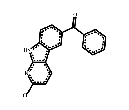 O=C(c1ccccc1)c1ccc2[nH]c3nc(Cl)ccc3c2c1